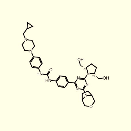 O=C(Nc1ccc(-c2nc(N3C4CCC3COC4)nc(N3[C@H](CO)CC[C@@H]3CO)n2)cc1)Nc1ccc(N2CCN(CC3CC3)CC2)cc1